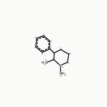 NC1C(c2ccccc2)CCCN1N